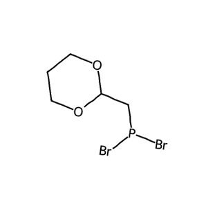 BrP(Br)CC1OCCCO1